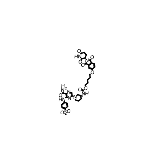 CS(=O)(=O)c1ccc(Nc2nc(N3CCC[C@@H](NC(=O)OCCCCCOc4ccc5c(c4)C(=O)N(C4CCC(=O)NC4=O)C5=O)C3)cnc2C(N)=O)cc1